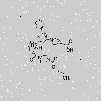 CCCCOC(=O)N1CCN(C(=O)[C@H](CC)NC(=O)c2cc(N3CC4C(C3)C4C(=O)O)nc(-c3ccccc3)n2)CC1